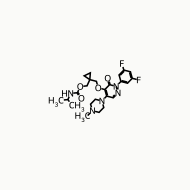 CC(C)NC(=O)OCC1(COc2c(N3CCN(C)CC3)cnn(-c3cc(F)cc(F)c3)c2=O)CC1